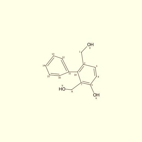 OCc1ccc(O)c(CO)c1-c1ccccc1